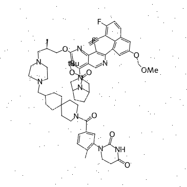 C#Cc1c(F)ccc2cc(OCOC)cc(-c3ncc4c(N5CC6CCC(C5)N6C(=O)OC(C)(C)C)nc(OC[C@H](C)CN5CCN(CC6CCC7(CC6)CCN(C(=O)c6ccc(C)c(N8CCC(=O)NC8=O)c6)CC7)CC5)nc4c3F)c12